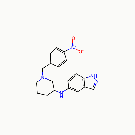 O=[N+]([O-])c1ccc(CN2CCCC(Nc3ccc4[nH]ncc4c3)C2)cc1